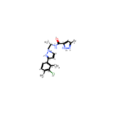 CC(=O)c1cc(C(=O)N[C@@H](C)Cn2ccc(-c3ccc(C#N)c(Cl)c3C)n2)[nH]n1